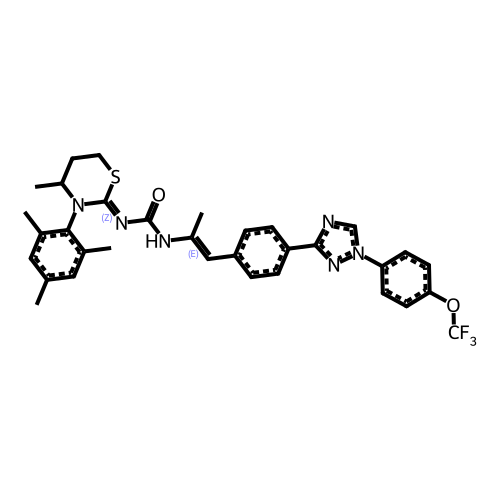 C/C(=C\c1ccc(-c2ncn(-c3ccc(OC(F)(F)F)cc3)n2)cc1)NC(=O)/N=C1\SCCC(C)N1c1c(C)cc(C)cc1C